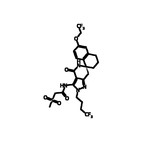 CS(=O)(=O)CC(=O)Nc1c2c(nn1CCCC(F)(F)F)C[C@]1(CCCc3cc(OCC(F)(F)F)ccc31)NC2=O